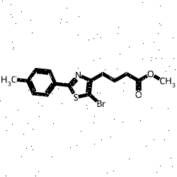 COC(=O)CCCc1nc(-c2ccc(C)cc2)sc1Br